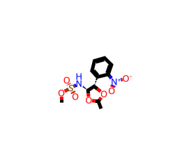 COS(=O)(=O)N[C@H]1OC(C)O[C@H]1c1ccccc1[N+](=O)[O-]